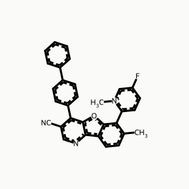 Cc1ccc2c(oc3c(-c4ccc(-c5ccccc5)cc4)c(C#N)cnc32)c1-c1ccc(F)c[n+]1C